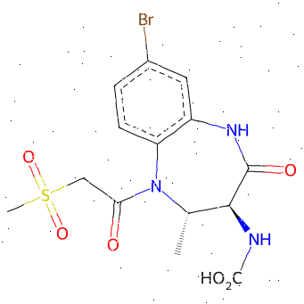 C[C@H]1[C@H](NC(=O)O)C(=O)Nc2cc(Br)ccc2N1C(=O)CS(C)(=O)=O